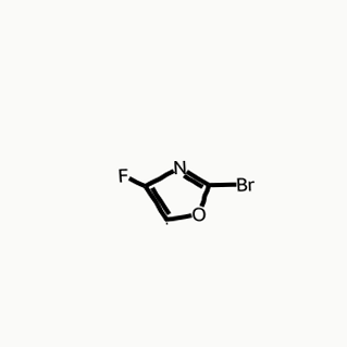 Fc1[c]oc(Br)n1